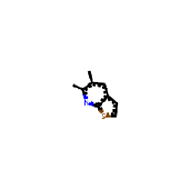 Cc1cc2ccsc2nc1C